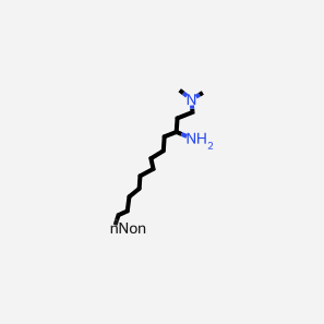 CCCCCCCCCCCCCCCCCCC(N)CCN(C)C